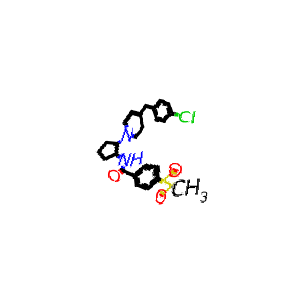 CS(=O)(=O)c1ccc(C(=O)NC2CCCC2N2CCC(Cc3ccc(Cl)cc3)CC2)cc1